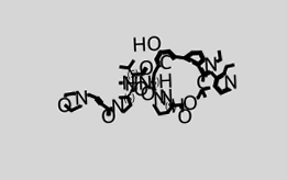 CCc1ncccc1-c1c2c3cc(ccc3n1CC)-c1cc(O)cc(c1)C[C@H](NC(=O)[C@H](C(C)C)N(C)C(=O)[C@H]1CCN(C(=O)C#CCN3CCOCC3)C1)C(=O)N1CCC[C@H](N1)C(=O)OCC(C)(C)C2